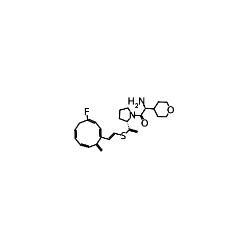 C=C1/C=C\C=C/C\C(F)=C/C=C1/C=C/SC(=C)[C@@H]1CCCN1C(=O)[C@@H](N)C1CCOCC1